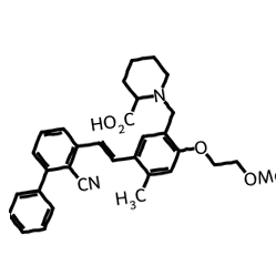 COCCOc1cc(C)c(C=Cc2cccc(-c3ccccc3)c2C#N)cc1CN1CCCCC1C(=O)O